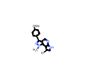 CCc1c[nH]c2ncc3c(-c4ccc(OC)cc4)nn(C)c3c12